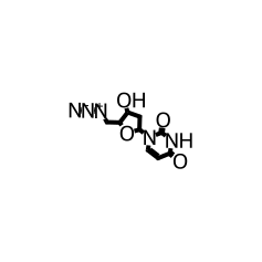 [N-]=[N+]=NCC1OC(n2ccc(=O)[nH]c2=O)CC1O